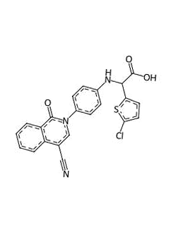 N#Cc1cn(-c2ccc(NC(C(=O)O)c3ccc(Cl)s3)cc2)c(=O)c2ccccc12